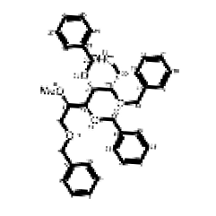 CO[C@H](COCc1ccccc1)[C@H](OCc1ccccc1)[C@H](OCc1ccccc1)[C@H](CC=O)OCc1ccccc1